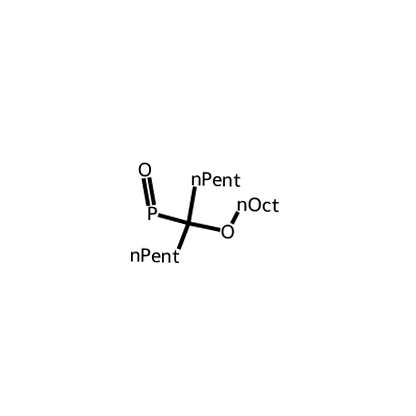 CCCCCCCCOC(CCCCC)(CCCCC)P=O